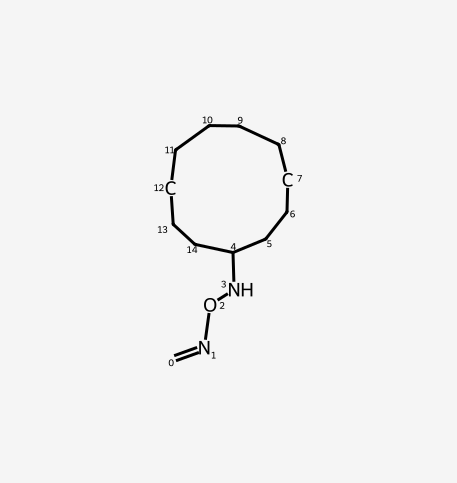 C=NONC1CCCCCCCCCC1